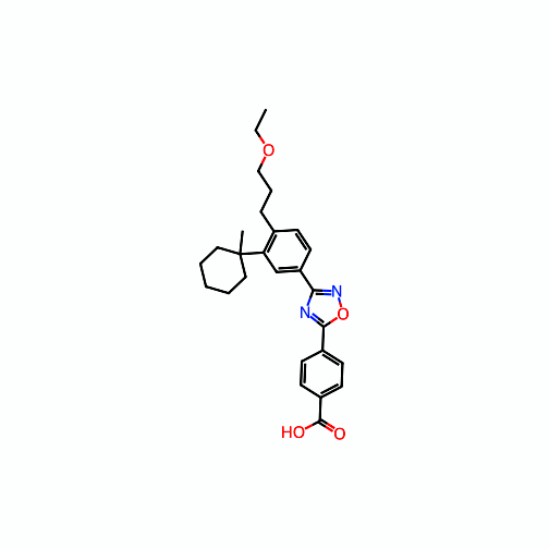 CCOCCCc1ccc(-c2noc(-c3ccc(C(=O)O)cc3)n2)cc1C1(C)CCCCC1